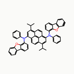 CC(C)c1cc(N(c2ccccc2)c2cccc3c2oc2c#cccc23)c2ccc3c(C(C)C)cc(N(c4ccccc4)c4cccc5c4oc4ccccc45)c4ccc1c2c34